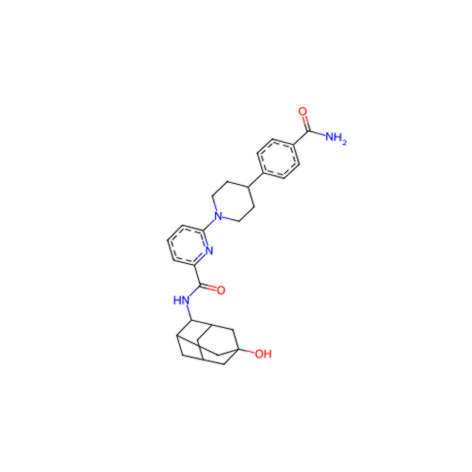 NC(=O)c1ccc(C2CCN(c3cccc(C(=O)NC4C5CC6CC4CC(O)(C6)C5)n3)CC2)cc1